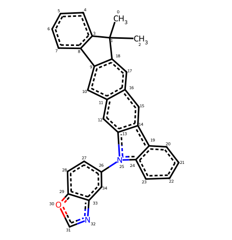 CC1(C)c2ccccc2-c2cc3cc4c(cc3cc21)c1ccccc1n4-c1ccc2ocnc2c1